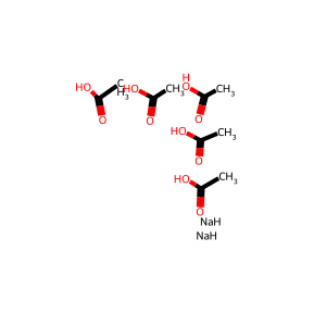 CC(=O)O.CC(=O)O.CC(=O)O.CC(=O)O.CC(=O)O.[NaH].[NaH]